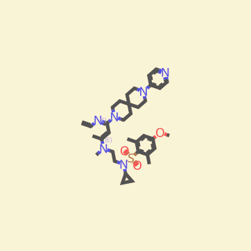 C=C/N=C(\C=C(/C)N(C)CCN(C1CC1)S(=O)(=O)c1c(C)cc(OC)cc1C)N1CCC2(CC1)CCN(c1ccncc1)CC2